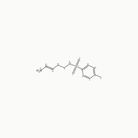 Cc1ccc(S(=O)(=O)OCC/N=N/N)cc1